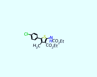 CCOC(=O)Nc1sc(-c2ccc(Cl)cc2)c(C)c1C(=O)OCC